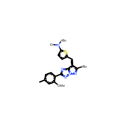 CCCCN(CC)c1ccc(/C=c2/c(C(C)(C)C)nn3nc(-c4ccc(C)cc4OC)nc23)s1